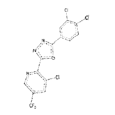 FC(F)(F)c1cnc(-c2nnc(-c3ccc(Cl)c(Cl)c3)o2)c(Cl)c1